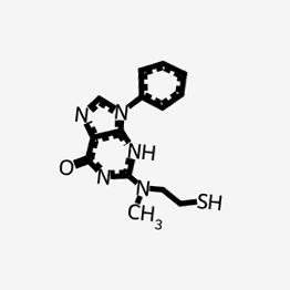 CN(CCS)c1nc(=O)c2ncn(-c3ccccc3)c2[nH]1